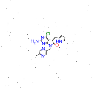 Cc1cnc(CN2C(=O)C(=Cc3ccc[nH]3)c3c(Cl)nc(N)nc32)cn1